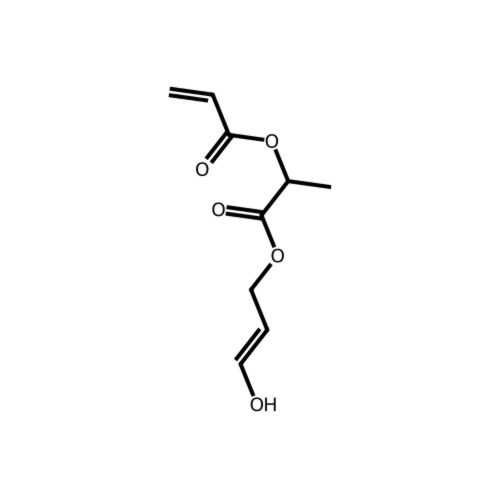 C=CC(=O)OC(C)C(=O)OCC=CO